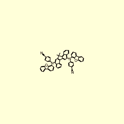 CC1(C)c2cc(N(c3ccc(C#N)cc3)c3cccc4c3oc3ccccc34)c3ccccc3c2-c2cc(N(c3ccc(C#N)cc3)c3cccc4c3oc3ccccc34)c3ccccc3c21